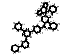 C1=CCC(c2cccc(-c3cc(-c4ccc(-c5nc6ccccc6c6c5C=CC5C6Oc6ccccc6C56c5ccccc5-c5ccccc56)cc4)nc(-c4ccccc4)n3)c2)C=C1